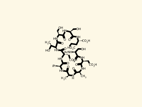 CC(=O)N[C@@H](CO)C(=O)N[C@@H](CC(=O)O)C(=O)N[C@@H](C)C(=O)N[C@@H](C)C(=O)N[C@H](C(=O)N[C@@H](CC(=O)O)C(=O)N[C@H](C(=O)N[C@@H](CO)C(=O)N[C@@H](CO)C(=O)N[C@@H](CCC(=O)O)C(=O)O)[C@@H](C)O)C(C)C